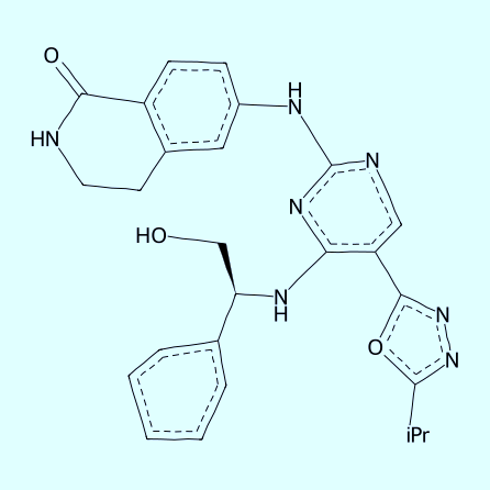 CC(C)c1nnc(-c2cnc(Nc3ccc4c(c3)CCNC4=O)nc2N[C@H](CO)c2ccccc2)o1